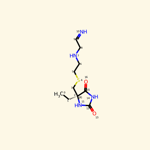 CC[C@@]1(CSCCNCC=N)NC(=O)NC1=O